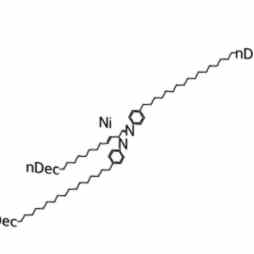 CCCCCCCCCCCCCCCCCCC=CC(C=Nc1ccc(CCCCCCCCCCCCCCCCCCCCCCCCCCC)cc1)=Nc1ccc(CCCCCCCCCCCCCCCCCCCCCCCCCCC)cc1.[Ni]